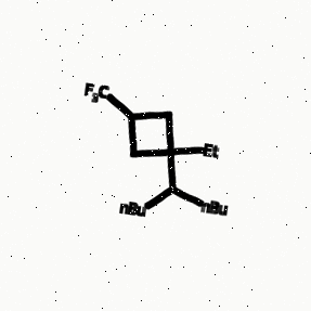 CCCCC(CCCC)C1(CC)CC(C(F)(F)F)C1